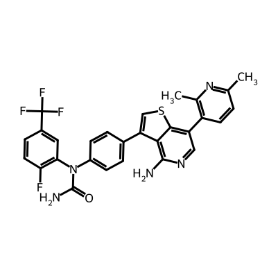 Cc1ccc(-c2cnc(N)c3c(-c4ccc(N(C(N)=O)c5cc(C(F)(F)F)ccc5F)cc4)csc23)c(C)n1